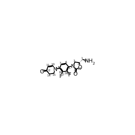 NC[C@H]1CN(c2ccc(N3C=CC(=O)CC3)c(F)c2F)C(=O)O1